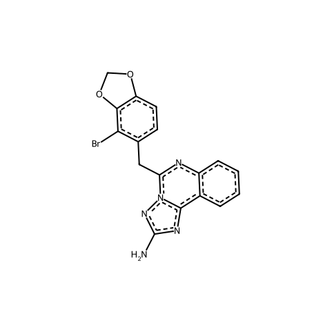 Nc1nc2c3ccccc3nc(Cc3ccc4c(c3Br)OCO4)n2n1